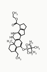 CCOC(=O)C1CCC2=C1C1=C(C2)C2=C(NN1)C1(C)CCCC(CC)=C1C(O[Si](C)(C)C(C)(C)C)=C2